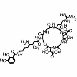 N=C(N)NCCC[C@@H]1NC(=O)CNC(=O)[C@H](NC(=O)C[C@@H](O)[C@@H](N)CCCCNC(=O)c2cccc(O)c2O)COC(=O)[C@H]([C@H](O)C(=O)O)NC(=O)CNC(=O)[C@H]([C@H](O)C(=O)O)NC1=O